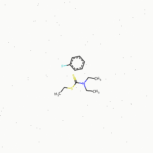 CCSC(=S)N(CC)CC.Fc1ccccc1